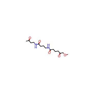 COCC(=O)CCCC(=O)NCCCC(=O)NCCC(C)=O